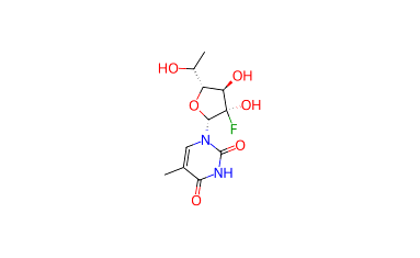 Cc1cn([C@@H]2O[C@H](C(C)O)[C@@H](O)[C@@]2(O)F)c(=O)[nH]c1=O